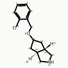 Clc1ccccc1COC1C[C@@H]2CNC[C@H]2C1